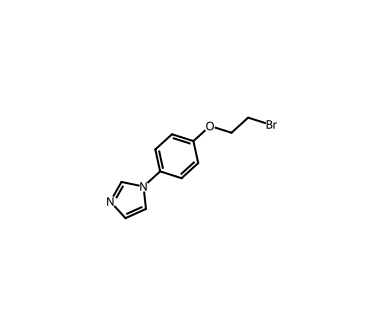 BrCCOc1ccc(-n2ccnc2)cc1